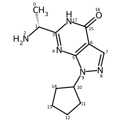 C[C@@H](N)c1nc2c(cnn2C2CCCC2)c(=O)[nH]1